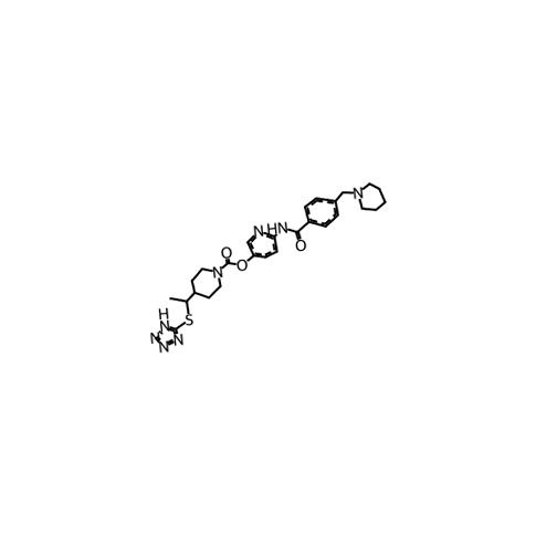 CC(Sc1nnn[nH]1)C1CCN(C(=O)Oc2ccc(NC(=O)c3ccc(CN4CCCCC4)cc3)nc2)CC1